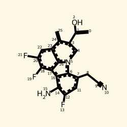 C=C(O)c1cn2c3c(CC#N)cc(F)c(N)c3c3c(F)c(F)cc(c1=C)c32